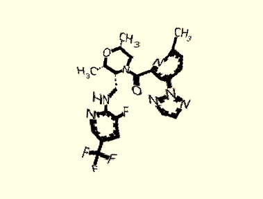 Cc1ccc(-n2nccn2)c(C(=O)N2C[C@@H](C)O[C@@H](C)[C@H]2CNc2ncc(C(F)(F)F)cc2F)n1